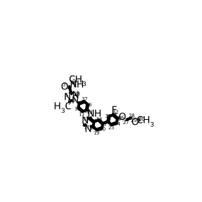 CNC(=O)c1nc(C)n(-c2ccc(Nc3ncnc4ccc(-c5ccc(OCCOC)c(F)c5)cc34)cc2)n1